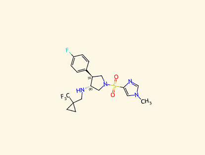 Cn1cnc(S(=O)(=O)N2C[C@H](NCC3(C(F)(F)F)CC3)[C@@H](c3ccc(F)cc3)C2)c1